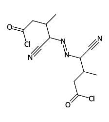 CC(CC(=O)Cl)C(C#N)N=NC(C#N)C(C)CC(=O)Cl